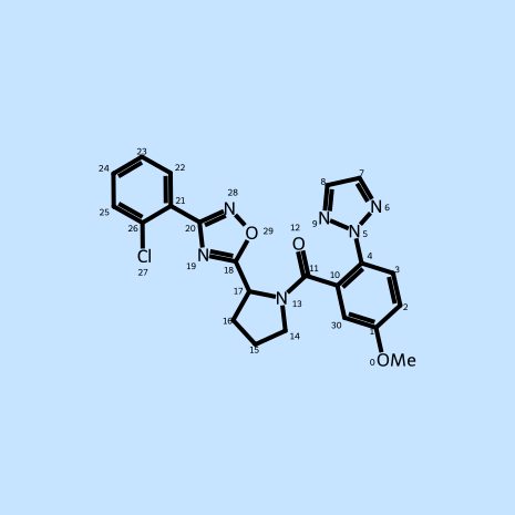 COc1ccc(-n2nccn2)c(C(=O)N2CCCC2c2nc(-c3ccccc3Cl)no2)c1